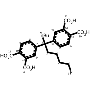 CCCCC(CCCCF)(c1ccc(C(=O)O)c(C(=O)O)c1)c1ccc(C(=O)O)c(C(=O)O)c1